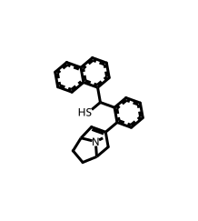 CN1C2C=C(c3ccccc3C(S)c3cccc4ccccc34)CC1CC2